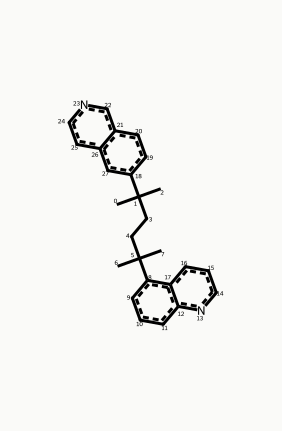 CC(C)(CCC(C)(C)c1cccc2ncccc12)c1ccc2cnccc2c1